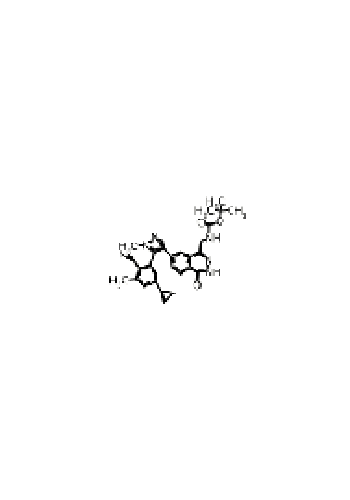 Cc1cc(C2CC2)cc(-c2c(-c3ccc4c(=O)[nH]nc(CNC(=O)OC(C)(C)C)c4c3)cnn2C)c1C#N